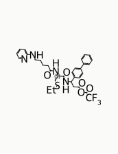 CCSC[C@@H](NC(=O)CCCCNc1ccccn1)C(=O)NC(CC(=O)OC(=O)C(F)(F)F)c1ccc(-c2ccccc2)cc1